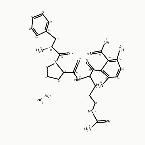 Cl.Cl.N=C(N)NCCCC(NC(=O)C1CCCN1C(=O)[C@H](N)Cc1ccccc1)C(=O)c1c(N)ccc(O)c1C(=O)O